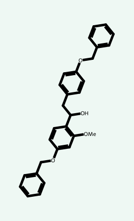 COc1cc(OCc2ccccc2)ccc1C(O)Cc1ccc(OCc2ccccc2)cc1